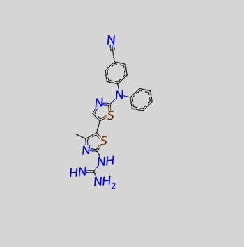 Cc1nc(NC(=N)N)sc1-c1cnc(N(c2ccccc2)c2ccc(C#N)cc2)s1